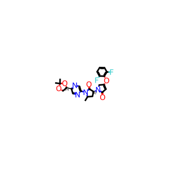 CC1C[C@H](N2CC(Oc3c(F)cccc3F)=CC2=O)C(=O)N1c1cnc([C@H]2COC(C)(C)O2)cn1